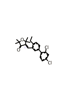 CCc1ccc(-c2ccc(Cl)cc2Cl)cc1/C=C1/C(=O)C(C)(C)OC1(C)C